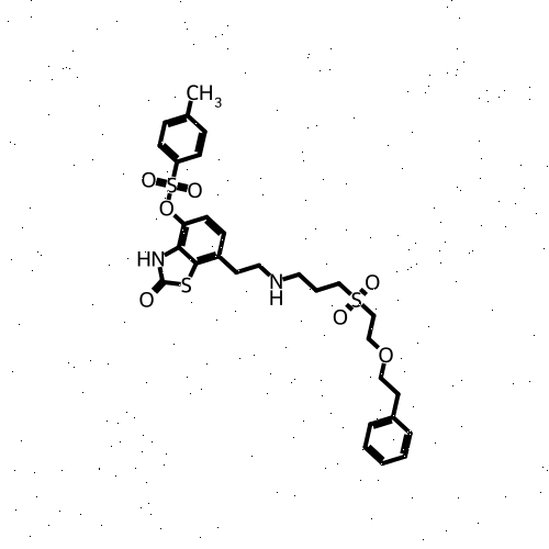 Cc1ccc(S(=O)(=O)Oc2ccc(CCNCCCS(=O)(=O)CCOCCc3ccccc3)c3sc(=O)[nH]c23)cc1